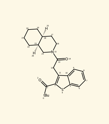 CC(C)(C)C(=O)c1sc2ccccc2c1CC(=O)N1CC[C@@H]2CCCC[C@@H]2C1